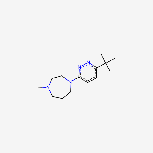 CN1CCCN(c2ccc(C(C)(C)C)nn2)CC1